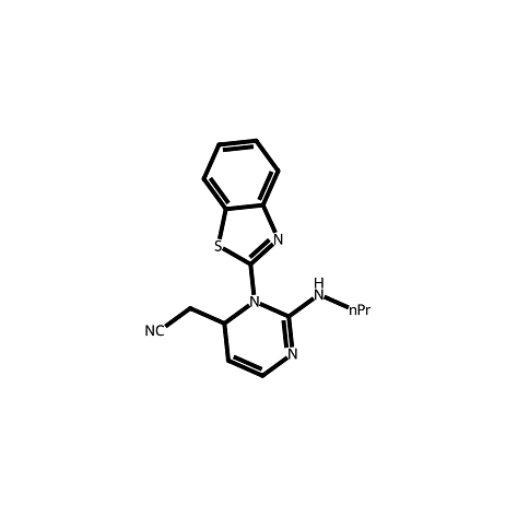 CCCNC1=NC=CC(CC#N)N1c1nc2ccccc2s1